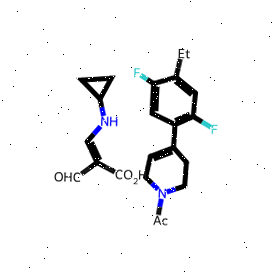 CCc1cc(F)c(C2=CCN(C(C)=O)CC2)cc1F.O=CC(=CNC1CC1)C(=O)O